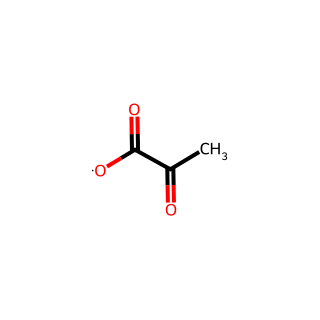 CC(=O)C([O])=O